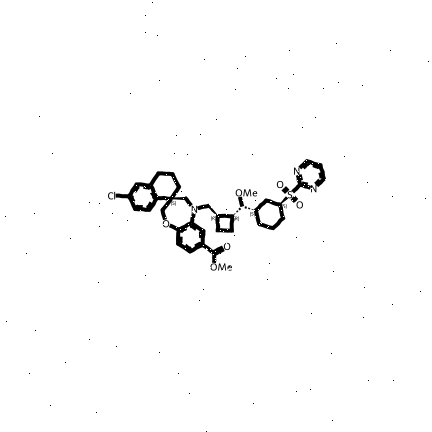 COC(=O)c1ccc2c(c1)N(C[C@@H]1CC[C@H]1C(OC)[C@H]1CCC[C@H](S(=O)(=O)c3ncccn3)C1)C[C@@]1(CCCc3cc(Cl)ccc31)CO2